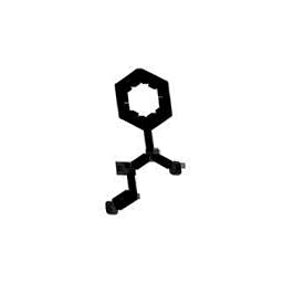 O=[C]N[S+]([O-])c1ccccc1